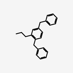 CCCc1cc(Cc2ccccc2)ccc1Cc1ccccc1